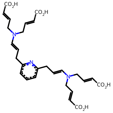 O=C(O)C=CCN(C=CCc1cccc(CC=CN(CC=CC(=O)O)CC=CC(=O)O)n1)CC=CC(=O)O